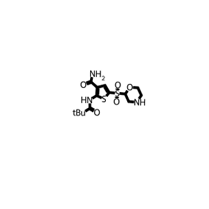 CC(C)(C)C(=O)Nc1sc(S(=O)(=O)C2CNCCO2)cc1C(N)=O